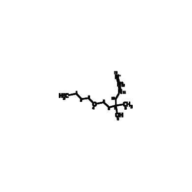 CCCCOCCC(C)(O)CN=[N+]=[N-]